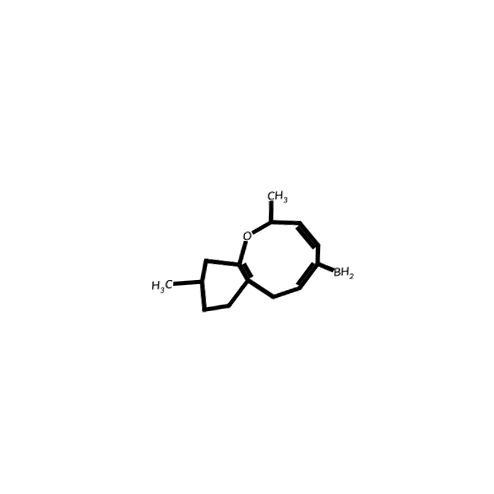 BC1=C/CC2=C(CC(C)CC2)OC(C)/C=C\1